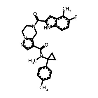 Cc1ccc(C2(N(C)C(=O)c3cnn4c3CN(C(=O)c3cc5c(C)c(F)ccc5[nH]3)CC4)CC2)cc1